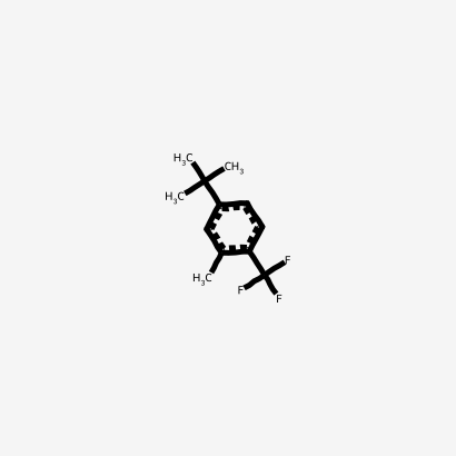 Cc1cc(C(C)(C)C)ccc1C(F)(F)F